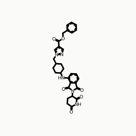 O=C1CCC(N2C(=O)c3cccc(NC4CCC(Cn5cc(C(=O)OCc6ccccc6)cn5)CC4)c3C2=O)C(=O)N1